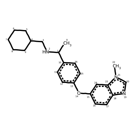 CC(NCC1CCCCC1)c1ccc(Oc2ccc3ncn(C)c3c2)cc1